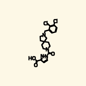 O=C(O)c1ccn(C(=O)N2CCC3(CCN(Cc4cccc(Cl)c4Cl)C3)CC2)n1